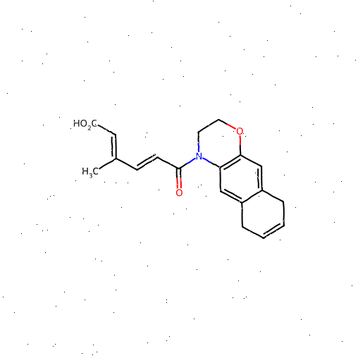 CC(C=CC(=O)N1CCOc2cc3c(cc21)CC=CC3)=CC(=O)O